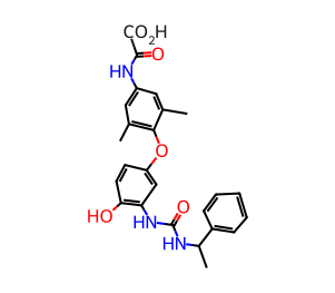 Cc1cc(NC(=O)C(=O)O)cc(C)c1Oc1ccc(O)c(NC(=O)NC(C)c2ccccc2)c1